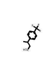 CC(C[TeH])c1ccc(C(F)(F)F)cc1